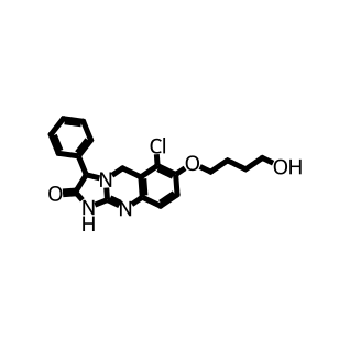 O=C1NC2=Nc3ccc(OCCCCO)c(Cl)c3CN2C1c1ccccc1